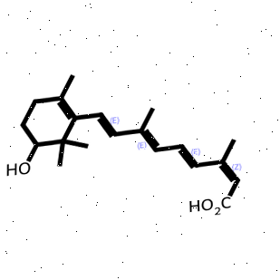 CC1=C(/C=C/C(C)=C/C=C/C(C)=C\C(=O)O)C(C)(C)C(O)CC1